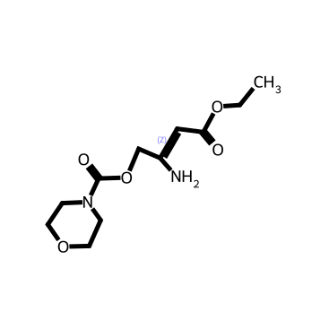 CCOC(=O)/C=C(\N)COC(=O)N1CCOCC1